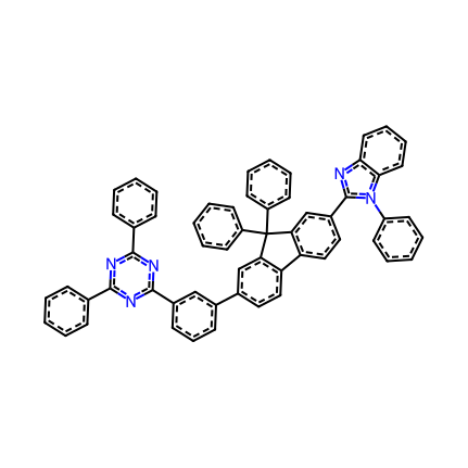 c1ccc(-c2nc(-c3ccccc3)nc(-c3cccc(-c4ccc5c(c4)C(c4ccccc4)(c4ccccc4)c4cc(-c6nc7ccccc7n6-c6ccccc6)ccc4-5)c3)n2)cc1